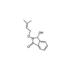 CC(C)=CCON1C(=O)c2ccccc2C1O